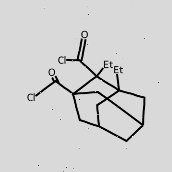 CCC12CC3CC(C1)CC(C(=O)Cl)(C3)C2(CC)C(=O)Cl